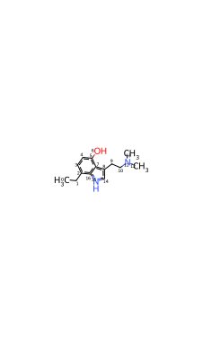 CCc1ccc(O)c2c(CCN(C)C)c[nH]c12